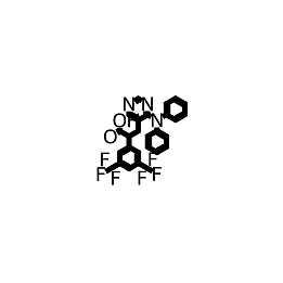 O=C(O)C(Cc1cncnc1N(c1ccccc1)c1ccccc1)c1cc(C(F)(F)F)cc(C(F)(F)F)c1